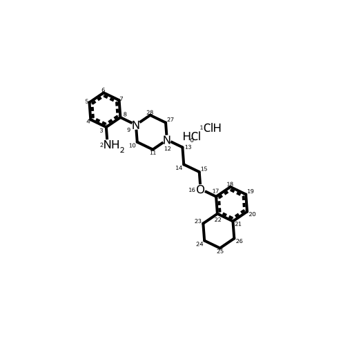 Cl.Cl.Nc1ccccc1N1CCN(CCCOc2cccc3c2CCCC3)CC1